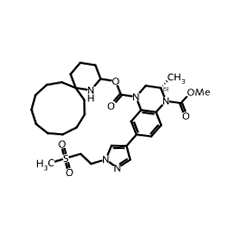 COC(=O)N1c2ccc(-c3cnn(CCS(C)(=O)=O)c3)cc2N(C(=O)OC2CCCC3(CCCCCCCCCC3)N2)C[C@@H]1C